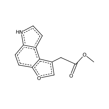 COC(=O)Cc1coc2ccc3[nH]ccc3c12